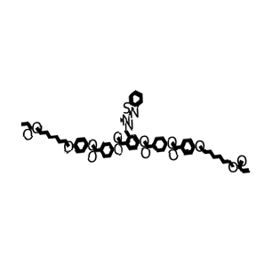 C=CC(=O)OCCCCCCOc1ccc(OC(=O)C2CCC(OC(=O)c3ccc(OC(=O)C4CCC(OC(=O)c5ccc(OCCCCCCOC(=O)C=C)cc5)CC4)cc3/C=N/N(C)c3nc4ccccc4s3)CC2)cc1